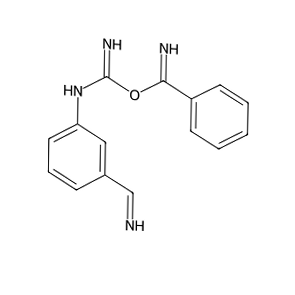 N=Cc1cccc(NC(=N)OC(=N)c2ccccc2)c1